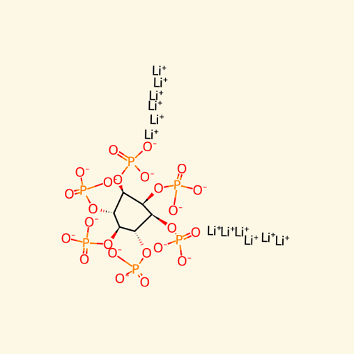 O=P([O-])([O-])O[C@H]1[C@H](OP(=O)([O-])[O-])[C@@H](OP(=O)([O-])[O-])[C@H](OP(=O)([O-])[O-])[C@@H](OP(=O)([O-])[O-])[C@H]1OP(=O)([O-])[O-].[Li+].[Li+].[Li+].[Li+].[Li+].[Li+].[Li+].[Li+].[Li+].[Li+].[Li+].[Li+]